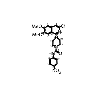 COc1cc2cc(Cl)nc(N3CCN(C(=O)Nc4ccc([N+](=O)[O-])cc4)CC3)c2cc1OC